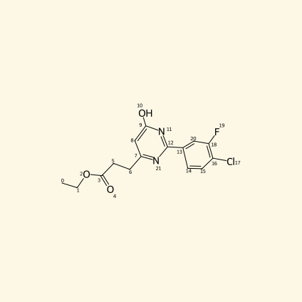 CCOC(=O)CCc1cc(O)nc(-c2ccc(Cl)c(F)c2)n1